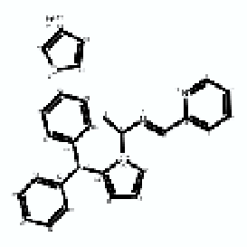 CC(N=Cc1ccccn1)[c-]1cccc1P(c1ccccc1)c1ccccc1.[Fe+2].c1cc[cH-]c1